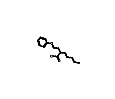 CCCCCC(CCOc1ccccc1)C(=O)Cl